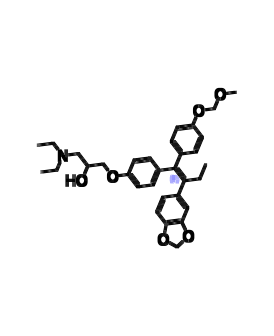 CC/C(=C(\c1ccc(OCOC)cc1)c1ccc(OCC(O)CN(CC)CC)cc1)c1ccc2c(c1)OCO2